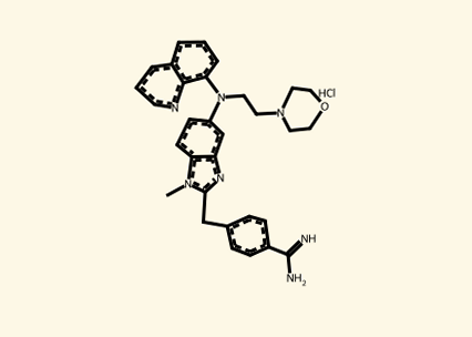 Cl.Cn1c(Cc2ccc(C(=N)N)cc2)nc2cc(N(CCN3CCOCC3)c3cccc4cccnc34)ccc21